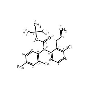 C=CCc1c(Cl)ncnc1N(C(=O)OC(C)(C)C)c1ccc(Br)cc1F